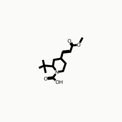 COC(=O)/C=C/C1CCN(C(=O)O)C(C(C)(C)C)C1